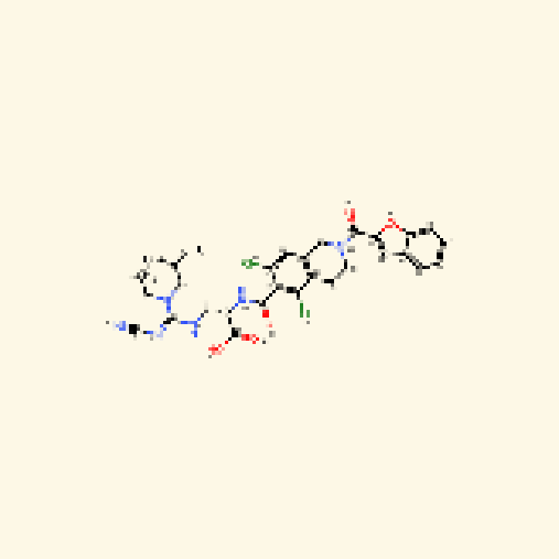 CCN(CC(C)C)/C(=N\C#N)NC[C@H](NC(=O)c1c(Cl)cc2c(c1Cl)CCN(C(=O)c1cc3ccccc3o1)C2)C(=O)O